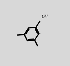 Cc1[c]c(C)cc(C)c1.[LiH]